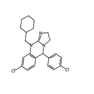 Clc1ccc(C2c3ccc(Cl)cc3N(CC3CCCCC3)C3=NCCN32)cc1